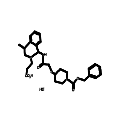 CC1CN(CCC(=O)O)C(NC(=O)COC2CCN(C(=O)OCc3ccccc3)CC2)c2ccccc21.Cl